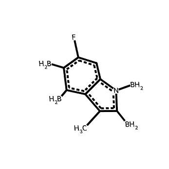 Bc1c(F)cc2c(c1B)c(C)c(B)n2B